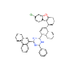 Clc1ccc2c3c(oc2c1)CCC=C3C1C=CC(C2NC(c3cc4ccccc4c4ccccc34)=NC(c3ccccc3)N2)=C2C=CC=CC21